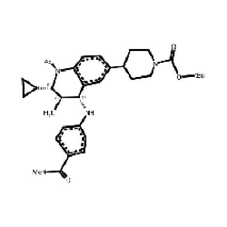 CNC(=O)c1ccc(N[C@H]2c3cc(C4CCN(C(=O)OC(C)(C)C)CC4)ccc3N(C(C)=O)[C@@H](C3CC3)[C@@H]2C)cc1